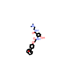 CN(C)CCNC(=O)c1ccc(O)c(NC(=O)COc2ccc(C34CC5CC(CC(C5)C3)C4)cc2)c1